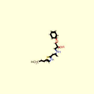 CC(Cc1ncc(CCC(=O)O)s1)NCC(O)COc1ccccc1